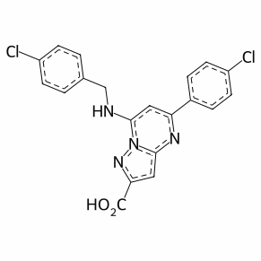 O=C(O)c1cc2nc(-c3ccc(Cl)cc3)cc(NCc3ccc(Cl)cc3)n2n1